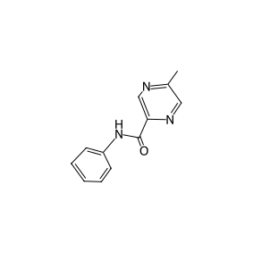 Cc1cnc(C(=O)Nc2ccccc2)cn1